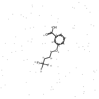 O=C(O)c1cccc(OCCCC(F)(F)F)c1